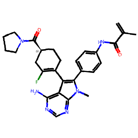 C=C(C)C(=O)Nc1ccc(-c2c(C3=C(F)C[C@@H](C(=O)N4CCCC4)CC3)c3c(N)ncnc3n2C)cc1